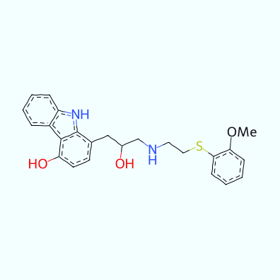 COc1ccccc1SCCNCC(O)Cc1ccc(O)c2c1[nH]c1ccccc12